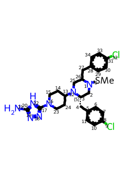 CSN1C[C@H](Cc2ccc(Cl)cc2)N(C2CCN(c3nnc(N)[nH]3)CC2)CC1Cc1ccc(Cl)cc1